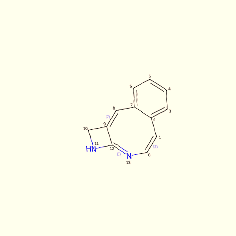 C1=C\c2ccccc2/C=C2/CN/C2=N/1